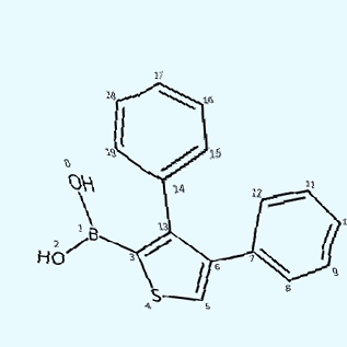 OB(O)c1scc(-c2ccccc2)c1-c1ccccc1